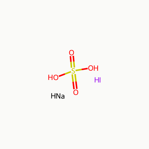 I.O=S(=O)(O)O.[NaH]